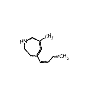 C=C/C=C\C1=C=C(C)CNCC1